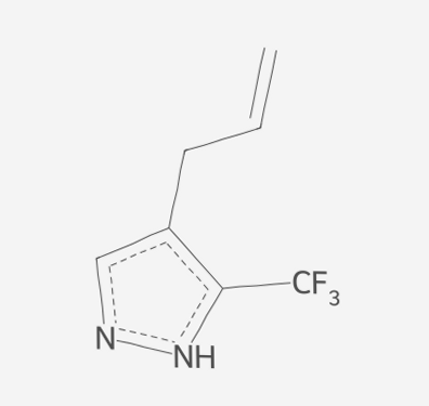 C=CCc1cn[nH]c1C(F)(F)F